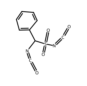 O=C=NC(c1ccccc1)S(=O)(=O)N=C=O